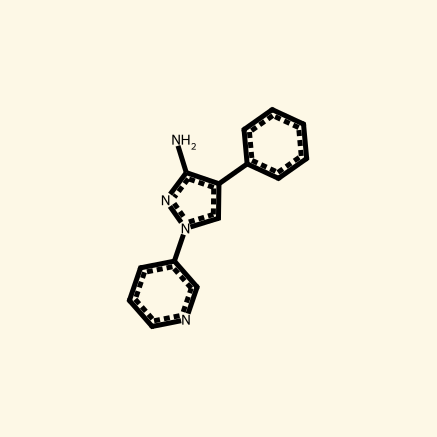 Nc1nn(-c2cccnc2)cc1-c1ccccc1